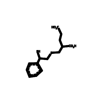 O=C(O)CCC(CSCC(S)c1ccccc1)C(=O)O